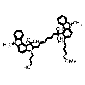 COSCCCNc1ccc2c(c1C(C)(C)C/C=C/C=C/C=C1/N(CCCO)c3ccc4c(c3C1(C)C)c1ccccc1n4C)c1ccccc1n2C